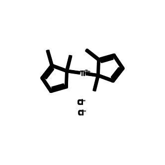 CC1=CC=C[C]1(C)[Ti+2][C]1(C)C=CC=C1C.[Cl-].[Cl-]